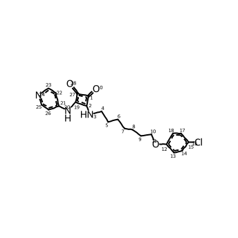 O=c1c(NCCCCCCCOc2ccc(Cl)cc2)c(Nc2ccncc2)c1=O